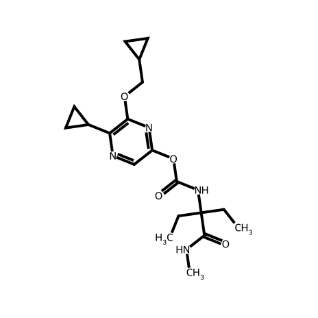 CCC(CC)(NC(=O)Oc1cnc(C2CC2)c(OCC2CC2)n1)C(=O)NC